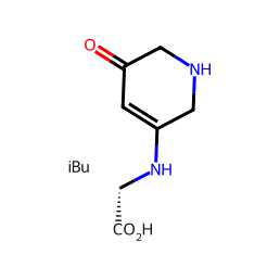 CC[C@H](C)[C@H](NC1=CC(=O)CNC1)C(=O)O